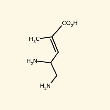 CC(=CC(N)CN)C(=O)O